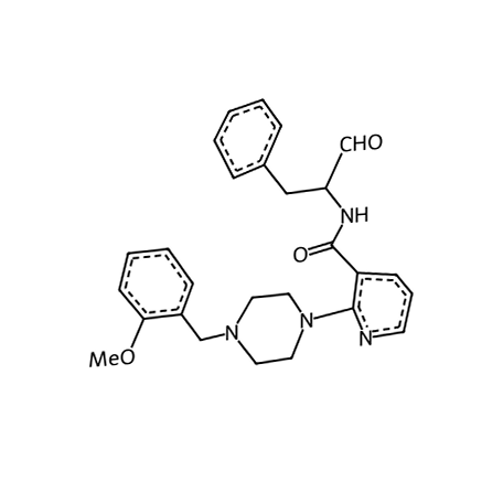 COc1ccccc1CN1CCN(c2ncccc2C(=O)NC(C=O)Cc2ccccc2)CC1